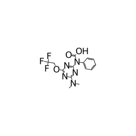 CN(C)c1nc(OCC(F)(F)F)nc(N(C(=O)O)c2ccccc2)n1